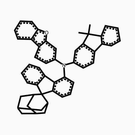 CC1(C)c2ccccc2-c2ccc(N(c3ccc4c(c3)oc3ccccc34)c3cccc4c3-c3ccccc3C43C4CC5CC(C4)CC3C5)cc21